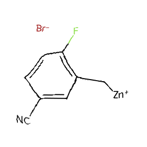 N#Cc1ccc(F)c([CH2][Zn+])c1.[Br-]